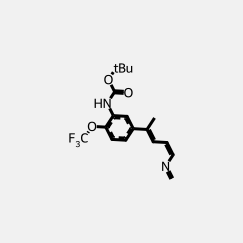 C=N/C=C\C=C(/C)c1ccc(OC(F)(F)F)c(NC(=O)OC(C)(C)C)c1